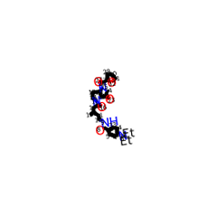 CCN(CC)c1ccc(C(=O)NCCC(C)CC(=O)N2CCC3C2C(=O)CN3C(=O)c2ccco2)cc1